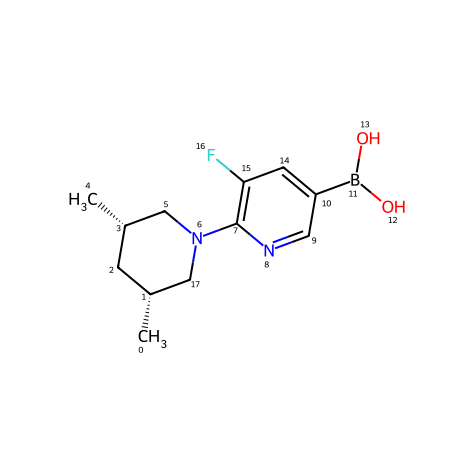 C[C@@H]1C[C@H](C)CN(c2ncc(B(O)O)cc2F)C1